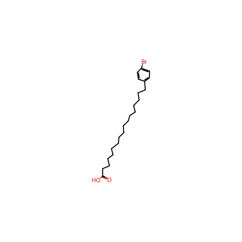 O=C(O)CCCCCCCCCCCCCCCCc1ccc(Br)cc1